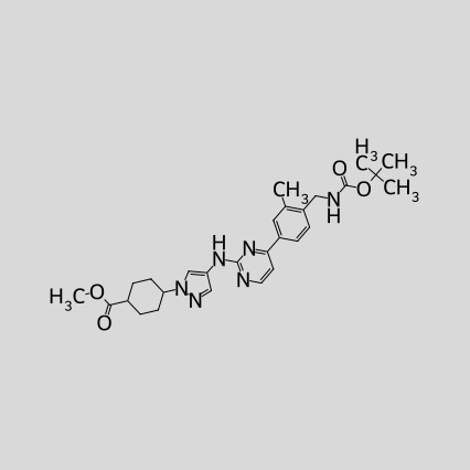 COC(=O)C1CCC(n2cc(Nc3nccc(-c4ccc(CNC(=O)OC(C)(C)C)c(C)c4)n3)cn2)CC1